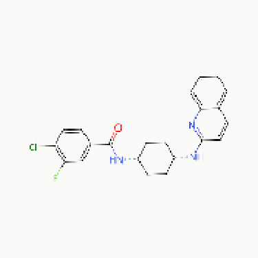 O=C(N[C@H]1CC[C@@H](Nc2ccc3ccccc3n2)CC1)c1ccc(Cl)c(F)c1